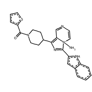 N[N+]12C=CN=CC1=C(C1CCN(C(=O)c3cccs3)CC1)N=C2c1cc2ccccc2[nH]1